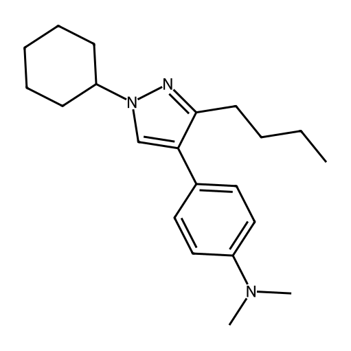 CCCCc1nn(C2CCCCC2)cc1-c1ccc(N(C)C)cc1